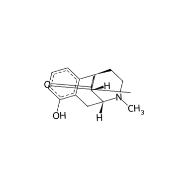 CN1CC[C@]23CCC(=O)C[C@H]2[C@H]1Cc1c(O)cccc13